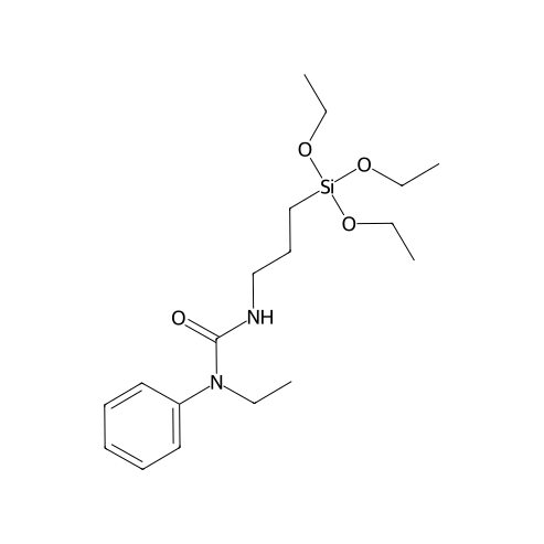 CCO[Si](CCCNC(=O)N(CC)c1ccccc1)(OCC)OCC